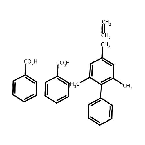 C=C.Cc1cc(C)c(-c2ccccc2)c(C)c1.O=C(O)c1ccccc1.O=C(O)c1ccccc1